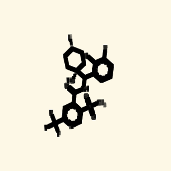 CS(=O)(=O)c1cnc(C(F)(F)F)cc1C(=O)NC(c1cccc(F)c1Cl)[C@]1(O)CC[C@@H](F)CC1